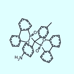 Cc1ccc(C(c2ccc(N)cc2)(P2(=O)Oc3ccccc3-c3ccccc32)P2(=O)Oc3ccccc3-c3ccccc32)cc1